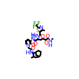 CNC(=O)C(=O)CCC(NC(=O)c1sc(C(F)(F)F)nc1C)C(=O)Nc1cccn(CC(=O)NC2C(C)CC3CCCC2C3)c1=O